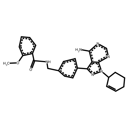 COc1ccccc1C(=O)NCc1ccc(-c2nn(C3C=CCCC3)c3ncnc(N)c23)cc1